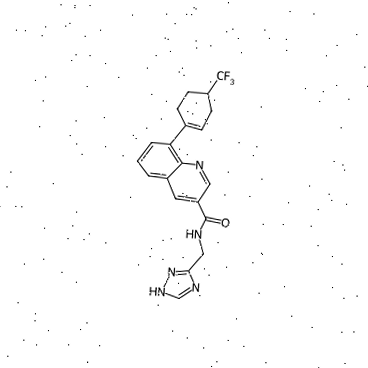 O=C(NCc1nc[nH]n1)c1cnc2c(C3=CCC(C(F)(F)F)CC3)cccc2c1